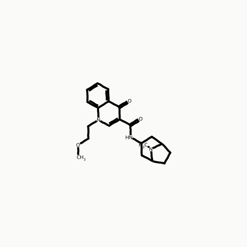 COCCn1cc(C(=O)NC2CC3CCC(C2)N3C)c(=O)c2ccccc21